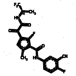 C[C@@H](NC(=O)C(=O)c1cn(C)c(C(=O)Nc2ccc(F)c(C#N)c2)c1F)C(F)(F)F